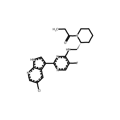 CCC(=O)N1CCCC[C@@H]1CNc1nc(-c2c[nH]c3ncc(Cl)cc23)ncc1F